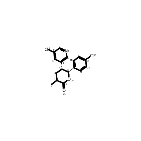 CC1C[C@H](c2cncc(Cl)c2)[C@H](c2ccc(Cl)cc2)OC1=O